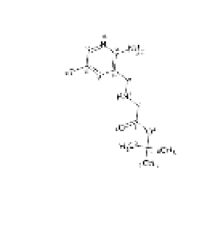 CC(C)(C)OC(=O)CNCc1cc(F)cnc1N